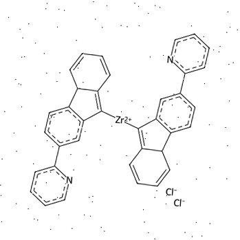 C1=CC2=[C]([Zr+2][C]3=C4C=CC=CC4c4ccc(-c5ccccn5)cc43)c3cc(-c4ccccn4)ccc3C2C=C1.[Cl-].[Cl-]